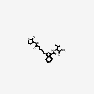 CC(C)C(NC(=O)c1nn(CCCCC(=O)NC2CCSC2=O)c2ccccc12)C(N)=O